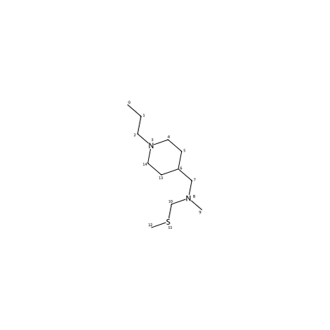 CCCN1CCC(CN(C)CSC)CC1